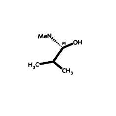 CN[C@H](O)C(C)C